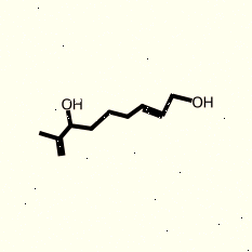 C=C(C)C(O)CCC/C=C/CO